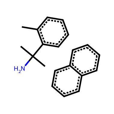 Cc1ccccc1C(C)(C)N.c1ccc2ccccc2c1